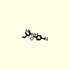 CCc1cncc(NC(=O)c2ccc(C#N)cc2)c1